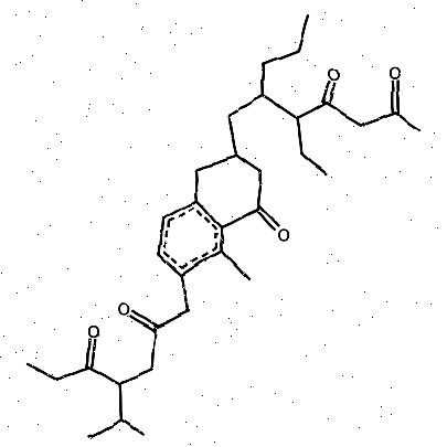 CCCC(CC1CC(=O)c2c(ccc(CC(=O)CC(C(=O)CC)C(C)C)c2C)C1)C(CC)C(=O)CC(C)=O